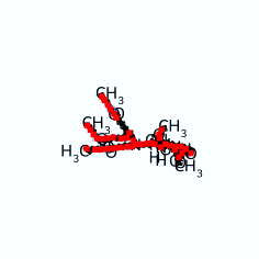 CCCCCC/C=C/COC(=O)CCCCCCCCN(CCCCCCCCC(=O)OC/C=C/CCCCCC)CCCN(CCCCCCCCC(=O)OC/C=C/CCCCCC)CCCCCC(=O)Nc1nc(OCCCC)nc2c1[nH]c(=O)n2CCCN(CCCN1CCOCC1)Cc1cccc(C(=O)OC)c1